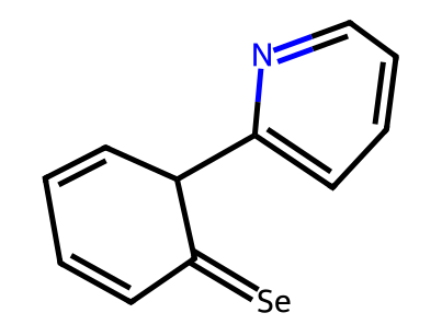 [Se]=C1C=CC=CC1c1ccccn1